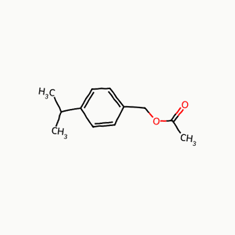 CC(=O)OCc1ccc(C(C)C)cc1